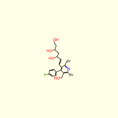 CC(C)c1nc(C(C)C)c(CO)c(-c2ccc(F)cc2)c1C=CC(O)CC(O)CCO